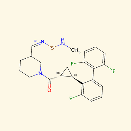 CNS/N=C\C1CCCN(C(=O)[C@@H]2C[C@H]2c2c(F)cccc2-c2c(F)cccc2F)C1